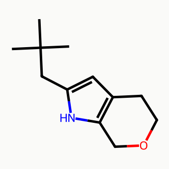 CC(C)(C)Cc1cc2c([nH]1)COCC2